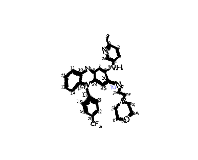 Cc1ccc(Nc2cc3nc4ccccc4n(-c4ccc(C(F)(F)F)cc4)c-3c/c2=N\CCN2CCOCC2)cn1